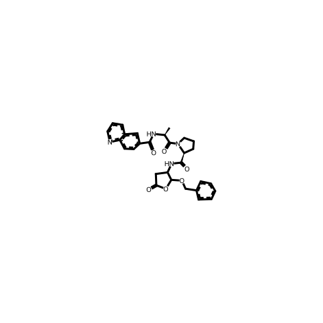 C[C@H](NC(=O)c1ccc2ncccc2c1)C(=O)N1CCC[C@H]1C(=O)NC1CC(=O)OC1OCc1ccccc1